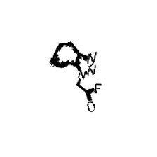 O=C(F)Cn1nnc2ccccc21